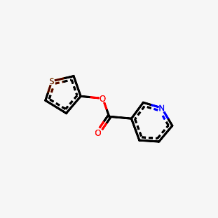 O=C(Oc1ccsc1)c1cccnc1